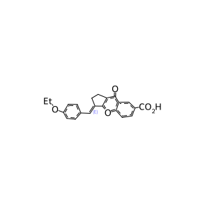 CCOc1ccc(/C=C2\CCc3c2oc2ccc(C(=O)O)cc2c3=O)cc1